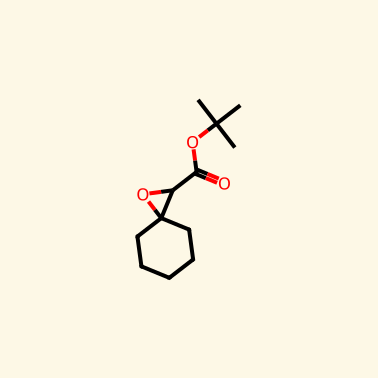 CC(C)(C)OC(=O)C1OC12CCCCC2